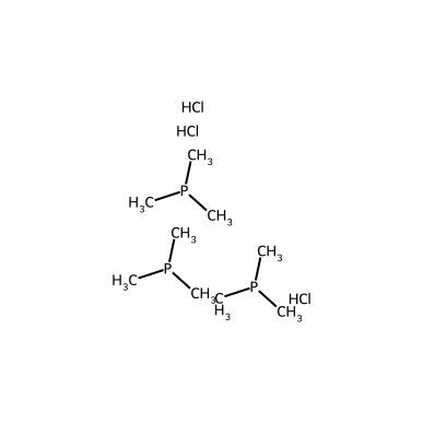 CP(C)C.CP(C)C.CP(C)C.Cl.Cl.Cl